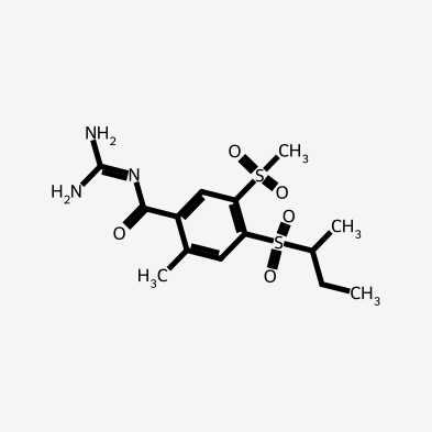 CCC(C)S(=O)(=O)c1cc(C)c(C(=O)N=C(N)N)cc1S(C)(=O)=O